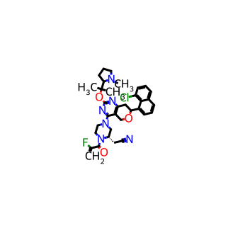 C=C(F)C(=O)N1CCN(c2nc(OC(C)(C)C3CCCN3C)nc3c2COC(c2cccc4cccc(Cl)c24)C3)C[C@@H]1CC#N